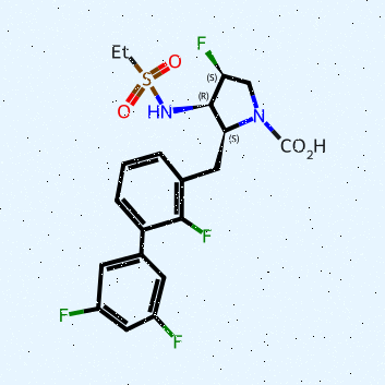 CCS(=O)(=O)N[C@H]1[C@@H](F)CN(C(=O)O)[C@H]1Cc1cccc(-c2cc(F)cc(F)c2)c1F